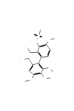 COc1ccc(-c2c(CO)cc(OC)c(OC)c2OC)c(CO)c1OS(C)(=O)=O